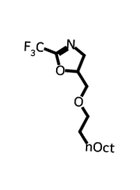 CCCCCCCCCCOCC1CN=C(C(F)(F)F)O1